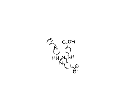 O=C(O)c1ccc(Nc2nc(NC3CCN(Cc4cccs4)CC3)nc3ccc([N+](=O)[O-])cc23)cc1